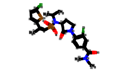 CC(=CS(=O)(=O)N(C(C)C)[C@H]1CCN(c2ccc(C(=O)N(C)C)cc2F)C1=O)c1ccc(Cl)s1